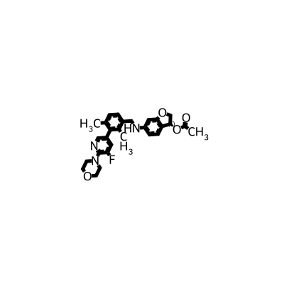 CC(=O)O[C@@H]1COc2cc(NCc3ccc(C)c(-c4cnc(N5CCOCC5)c(F)c4)c3C)ccc21